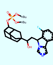 CCCCOP(=O)(OCCCC)OC1C2CC3CC1CC(C(O)CC1c4c(F)cccc4-c4cncn41)(C3)C2